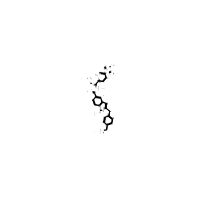 CCn1c(Cc2ccc(CN=O)cc2)cc2cc(C(=O)N[C@@H](CO)c3ccc(S(=O)(=O)CC)cn3)ccc21